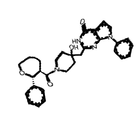 O=C([C@@H]1CCCO[C@H]1c1ccccc1)N1CCC(O)(Cc2nc3c(ccn3-c3ccccc3)c(=O)[nH]2)CC1